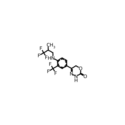 CC(CNc1ccc(C2=NNC(=O)OC2)cc1C(F)(F)F)C(F)(F)F